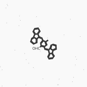 Cc1cc(C=C2c3ccccc3-c3ccccc32)c(C=O)cc1C=C1c2ccccc2-c2ccccc21